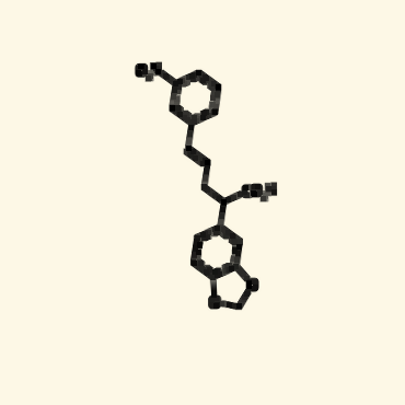 O=C(O)C(CC=Cc1cccc([N+](=O)[O-])c1)c1ccc2c(c1)OCO2